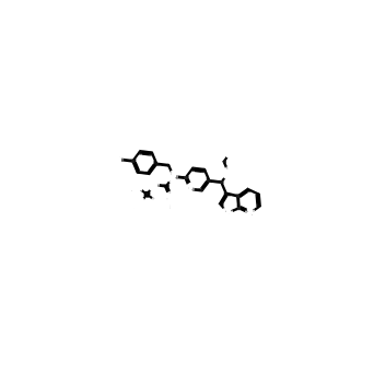 CCOC(c1ccc(N(Cc2ccc(Cl)cc2)C(=O)OC(C)(C)C)nc1)c1c[nH]c2ncccc12